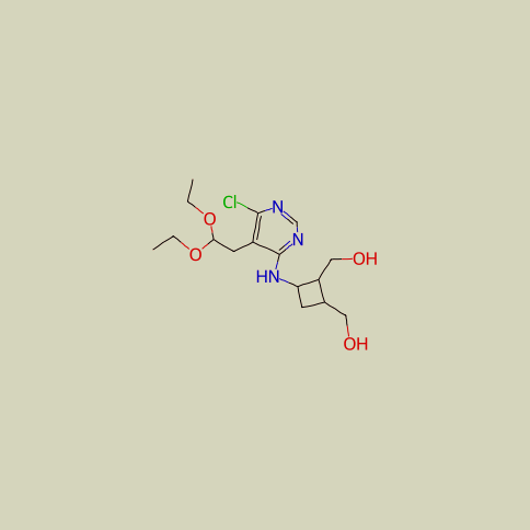 CCOC(Cc1c(Cl)ncnc1NC1CC(CO)C1CO)OCC